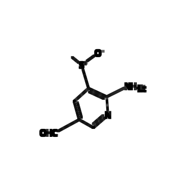 CCNc1ncc(C=O)cc1[S+](C)[O-]